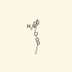 CCCCCCCOc1ccc(-c2ccc(CCC(N)CC(=O)OC(C)(C)C)cc2)cc1